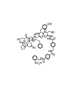 CC(=O)N(CCC(=O)O)CC(=O)N1CCC[C@H]1C(=O)N[C@@H](CC(C)C)C(=O)NCC(=O)N[C@@H](CCc1ccccc1)C(=O)N[C@@H](Cc1ccc(O)cc1)C(=O)N[C@@H](CC(C)C)C(=O)NNC(=O)c1ccc(CNC(=O)c2ccc(N/N=C/c3ccccc3S(=O)(=O)O)nc2)cc1